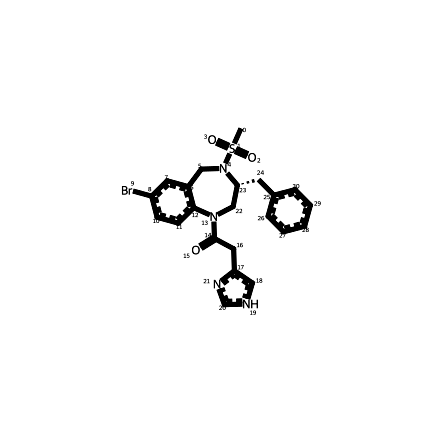 CS(=O)(=O)N1Cc2cc(Br)ccc2N(C(=O)Cc2c[nH]cn2)C[C@H]1Cc1ccccc1